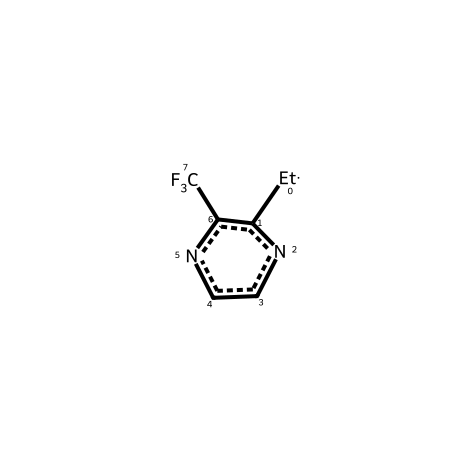 C[CH]c1nccnc1C(F)(F)F